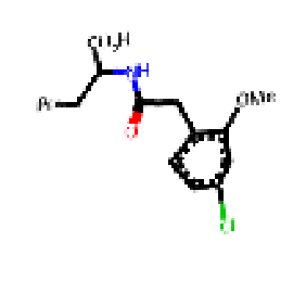 COc1cc(Cl)ccc1CC(=O)NC(CC(C)C)C(=O)O